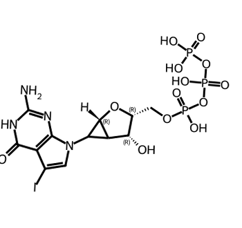 Nc1nc2c(c(I)cn2C2C3[C@H]2O[C@H](COP(=O)(O)OP(=O)(O)OP(=O)(O)O)[C@@H]3O)c(=O)[nH]1